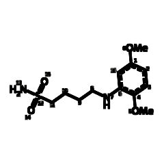 COc1ccc(OC)c(NCCCCS(N)(=O)=O)c1